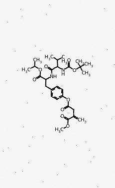 C=C(CC(=O)Oc1ccc(CC(NC(=O)C(NC(=O)OC(C)(C)C)C(C)C)C(=O)OC(C)C)cc1)C(=O)OC